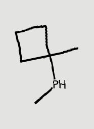 CPC1(C)CCC1